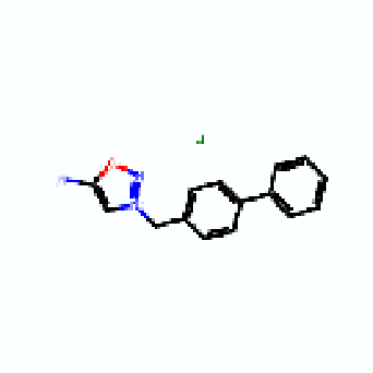 Nc1c[n+](Cc2ccc(-c3ccccc3)cc2)no1.[Cl-]